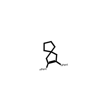 CCCCCC1=C(CCCCC)CC2(CCCC2)C1